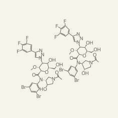 CO[C@@H]1[C@@H](n2cc(-c3cc(F)c(F)c(F)c3)nn2)[C@@H](O)[C@@H](CO)O[C@H]1C(=O)N(c1cc(Br)cc(Br)c1)[C@@H]1CN(C(C)=O)C[C@H]1O.CO[C@@H]1[C@@H](n2cc(-c3cc(F)c(F)c(F)c3)nn2)[C@@H](O)[C@@H](CO)O[C@H]1C(=O)N(c1cc(Br)cc(Br)c1)[C@H]1CN(C(C)=O)C[C@@H]1O